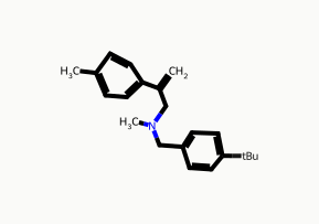 C=C(CN(C)Cc1ccc(C(C)(C)C)cc1)c1ccc(C)cc1